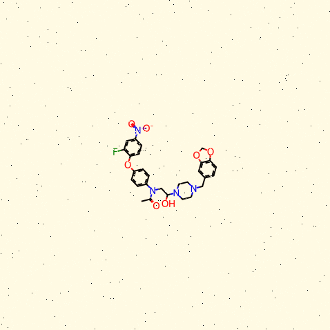 CC(=O)N(CC(O)N1CCN(Cc2ccc3c(c2)OCO3)CC1)c1ccc(Oc2ccc([N+](=O)[O-])cc2F)cc1